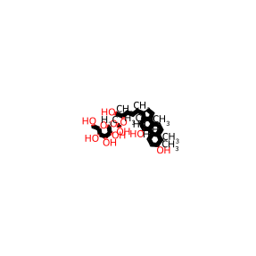 C[C@H](CCC(OC(O)OC1OC(CO)C(O)C(O)C1O)C(C)(C)O)[C@H]1CC[C@@]2(C)[C@@H]3CC=C4[C@@H](CC[C@H](O)C4(C)C)[C@]3(C)[C@H](O)C[C@]12C